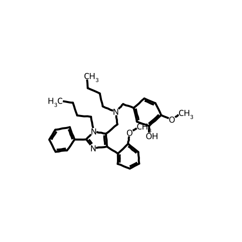 CCCCN(Cc1ccc(OC)c(O)c1)Cc1c(-c2ccccc2OC)nc(-c2ccccc2)n1CCCC